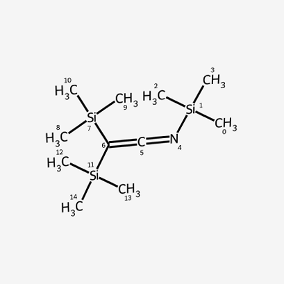 C[Si](C)(C)N=C=C([Si](C)(C)C)[Si](C)(C)C